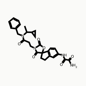 CC(C1CC1)N(Cc1ccccc1)C(=O)CCN1C(=O)OC2(CCc3cc(NC(=O)C(N)=O)ccc32)C1=O